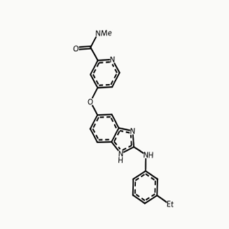 CCc1cccc(Nc2nc3cc(Oc4ccnc(C(=O)NC)c4)ccc3[nH]2)c1